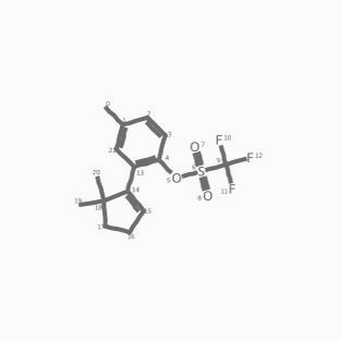 Cc1ccc(OS(=O)(=O)C(F)(F)F)c(C2=CCCC2(C)C)c1